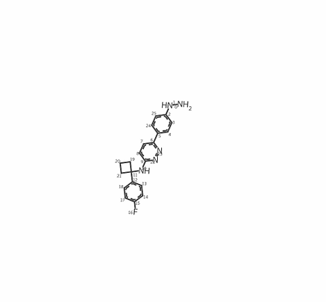 NNc1ccc(-c2ccc(NC3(c4ccc(F)cc4)CCC3)nn2)cc1